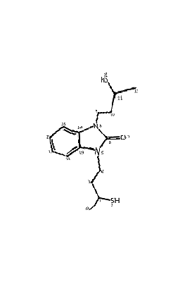 CC(S)CCn1c(=O)n(CCC(C)S)c2ccccc21